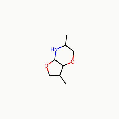 CC1COC2C(C)COC2N1